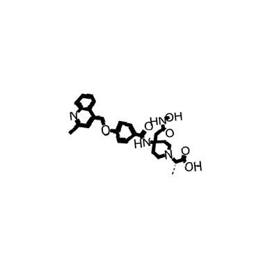 Cc1cc(COc2ccc(C(=O)NC3(CC(=O)NO)CCN([C@@H](C)C(=O)O)CC3)cc2)c2ccccc2n1